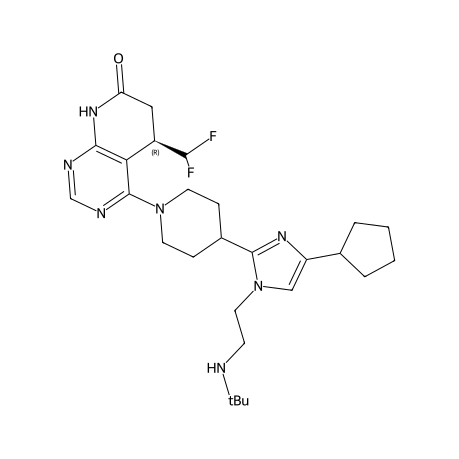 CC(C)(C)NCCn1cc(C2CCCC2)nc1C1CCN(c2ncnc3c2[C@H](C(F)F)CC(=O)N3)CC1